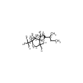 CCC(C)C(=O)OC1(C(F)(F)F)C(F)(F)COC(O)(C(F)(F)F)C1(F)F